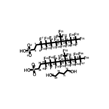 O=S(=O)(O)CCC(F)(F)C(F)(F)C(F)(F)C(F)(F)C(F)(C(F)(F)F)C(F)(F)C(F)(F)C(F)(F)F.O=S(=O)(O)CCC(F)(F)C(F)(F)C(F)(F)C(F)(F)C(F)(C(F)(F)F)C(F)(F)C(F)(F)C(F)(F)F.OCCCCO